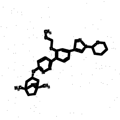 COCOc1cc(-c2cnn(C3CCCCO3)c2)ccc1-c1ccc(O[C@@H]2C[C@]3(C)CC[C@](C)(C2)N3)nn1